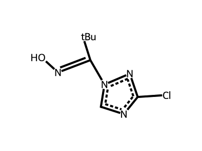 CC(C)(C)C(=NO)n1cnc(Cl)n1